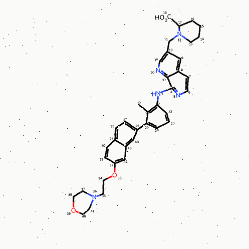 Cc1c(Nc2nccc3cc(CN4CCCCC4C(=O)O)cnc23)cccc1-c1ccc2ccc(OCCN3CCOCC3)cc2c1